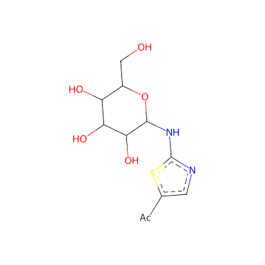 CC(=O)c1cnc(NC2OC(CO)C(O)C(O)C2O)s1